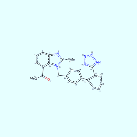 COC(=O)c1cccc2nc(OC)n(Cc3ccc(-c4ccccc4-c4nnn[nH]4)cc3)c12